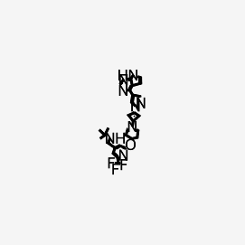 CC(C)(C)NCc1cc(OC2CCN(C3C[C](n4cc(-c5ncnc6[nH]ccc56)cn4)C3)CC2)nc(C(F)(F)F)c1